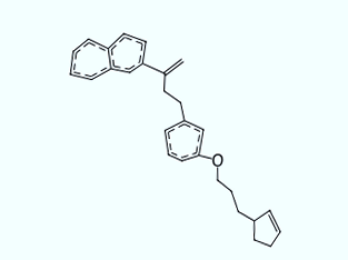 C=C(CCc1cccc(OCCCC2C=CCC2)c1)c1ccc2ccccc2c1